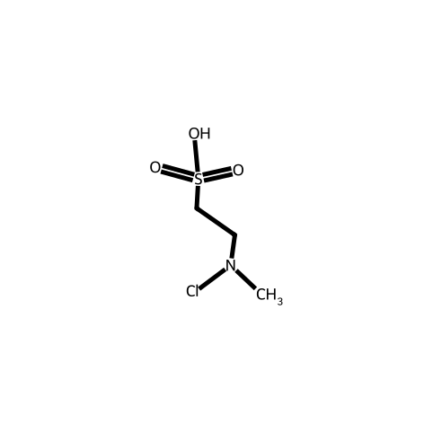 CN(Cl)CCS(=O)(=O)O